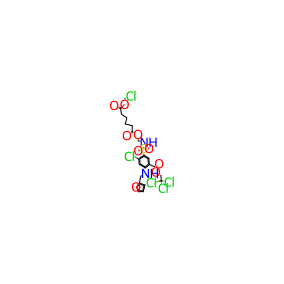 O=C(CCCCC(=O)OCNS(=O)(=O)c1cc(C(=O)OCC(Cl)(Cl)Cl)c(NCc2ccco2)cc1Cl)OCCl